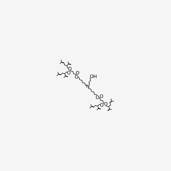 C=C(C)C(CC=C(C)C)COC(CCC(=O)OCCCCCCN(CCCCO)CCCCCCOC(=O)CCC(OCC(CC=C(C)C)C(=C)C)OCC(CC=C(C)C)C(=C)C)OCC(CC=C(C)C)C(=C)C